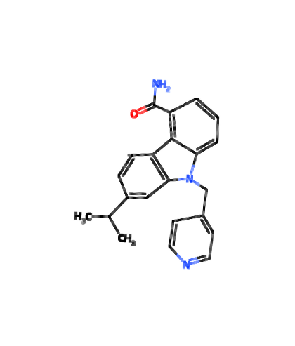 CC(C)c1c[c]c2c3c(C(N)=O)cccc3n(Cc3ccncc3)c2c1